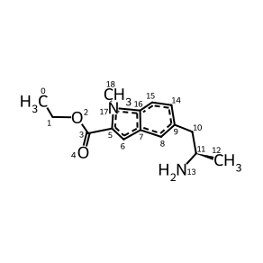 CCOC(=O)c1cc2cc(C[C@@H](C)N)ccc2n1C